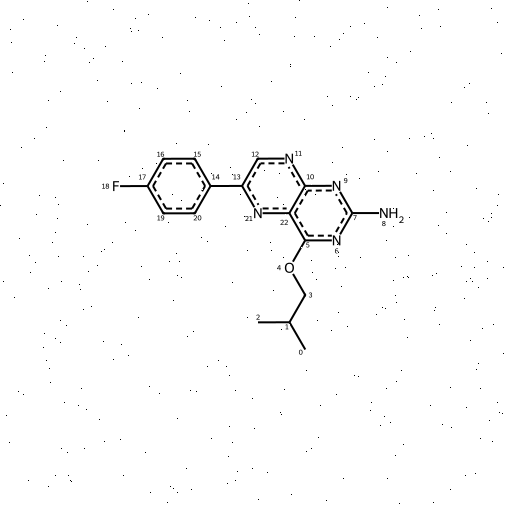 CC(C)COc1nc(N)nc2ncc(-c3ccc(F)cc3)nc12